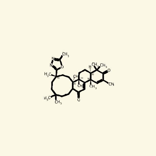 Cc1nnc([C@@]2(C)CCC(C)(C)CCC3C(=O)C=C4[C@@]5(C)C=C(C#N)C(=O)C(C)(C)[C@@H]5CC[C@@]4(C)[C@]3(C)CC2)o1